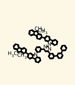 CC1(C)c2ccccc2-c2ccc(-c3ccc4c5ccccc5n(-c5cccc(-c6cc(-c7cccc(-c8cccc(-c9ccccc9)c8)c7)nc(-n7c8ccccc8c8ccc(-c9ccc%10c(c9)C(C)(C)c9ccccc9-%10)cc87)n6)c5)c4c3)cc21